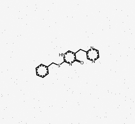 O=c1nc(SCc2ccccc2)[nH]cc1Cc1cnccn1